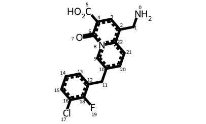 NCc1cc(C(=O)O)c(=O)n2cc(Cc3cccc(Cl)c3F)ccc12